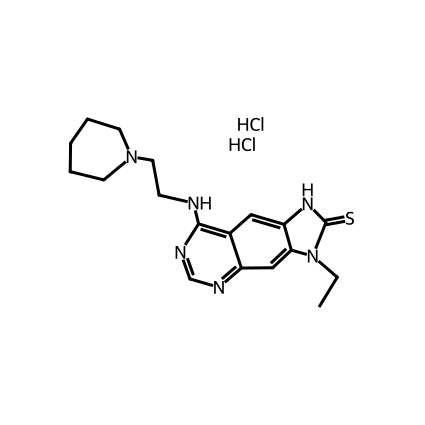 CCn1c(=S)[nH]c2cc3c(NCCN4CCCCC4)ncnc3cc21.Cl.Cl